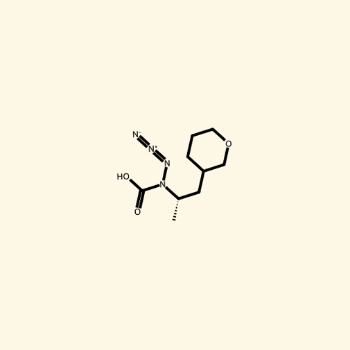 C[C@@H](CC1CCCOC1)N(N=[N+]=[N-])C(=O)O